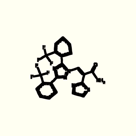 NC(=O)/C(=C/n1nc(-c2ccccc2C(F)(F)F)nc1-c1ccccc1C(F)(F)F)c1nccs1